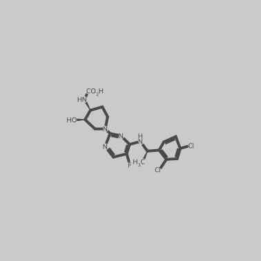 C[C@@H](Nc1nc(N2CC[C@H](NC(=O)O)[C@H](O)C2)ncc1F)c1ccc(Cl)cc1Cl